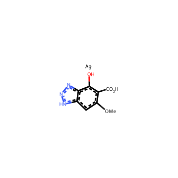 COc1cc2[nH]nnc2c(O)c1C(=O)O.[Ag]